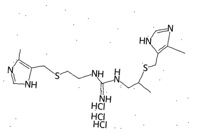 Cc1nc[nH]c1CSCCNC(=N)NCC(C)SCc1[nH]cnc1C.Cl.Cl.Cl